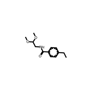 CCc1ccc(C(=O)NCC(OC)OC)cc1